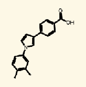 Cc1ccc(-n2ccc(-c3ccc(C(=O)O)cc3)c2)cc1C